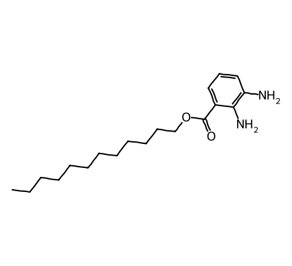 CCCCCCCCCCCCOC(=O)c1cccc(N)c1N